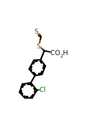 O=C(O)C(SC=S)c1ccc(-c2ccccc2Cl)cc1